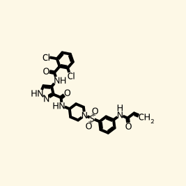 C=CC(=O)Nc1cccc(S(=O)(=O)N2CCC(NC(=O)c3n[nH]cc3NC(=O)c3c(Cl)cccc3Cl)CC2)c1